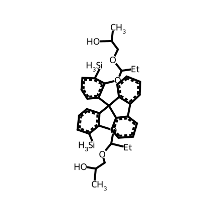 CCC(OCC(C)O)Oc1c([SiH3])cccc1C1(c2cccc([SiH3])c2OC(CC)OCC(C)O)c2ccccc2-c2ccccc21